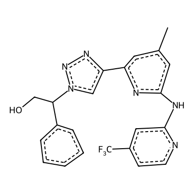 Cc1cc(Nc2cc(C(F)(F)F)ccn2)nc(-c2cn(C(CO)c3ccccc3)nn2)c1